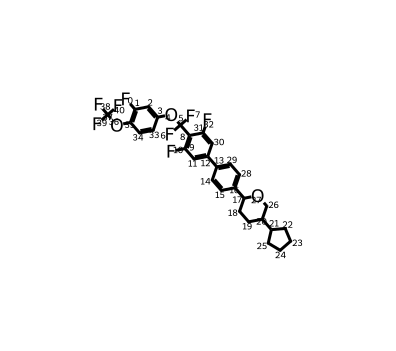 Fc1cc(OC(F)(F)c2c(F)cc(-c3ccc(C4CCC(C5CCCC5)CO4)cc3)cc2F)ccc1OC(F)(F)F